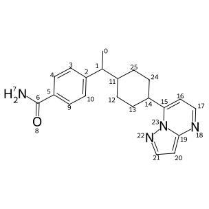 CC(c1ccc(C(N)=O)cc1)C1CCC(c2ccnc3ccnn23)CC1